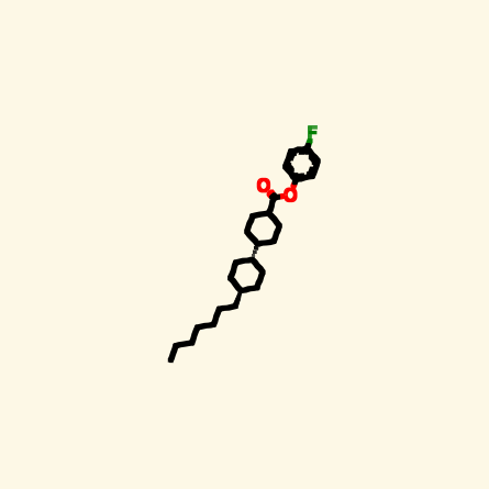 CCCCCCC[C@H]1CC[C@H](C2CCC(C(=O)Oc3ccc(F)cc3)CC2)CC1